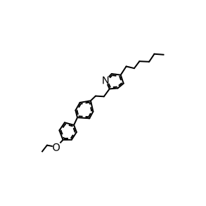 CCCCCCc1ccc(CCc2ccc(-c3ccc(OCC)cc3)cc2)nc1